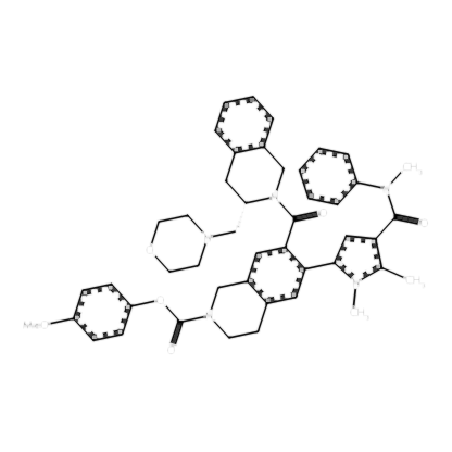 COc1ccc(OC(=O)N2CCc3cc(-c4cc(C(=O)N(C)c5ccccc5)c(C)n4C)c(C(=O)N4Cc5ccccc5C[C@H]4CN4CCOCC4)cc3C2)cc1